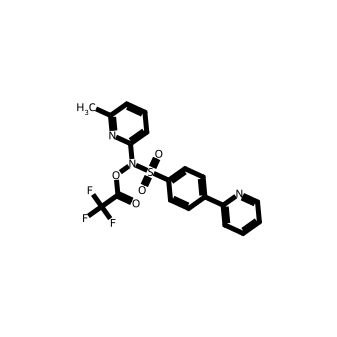 Cc1cccc(N(OC(=O)C(F)(F)F)S(=O)(=O)c2ccc(-c3ccccn3)cc2)n1